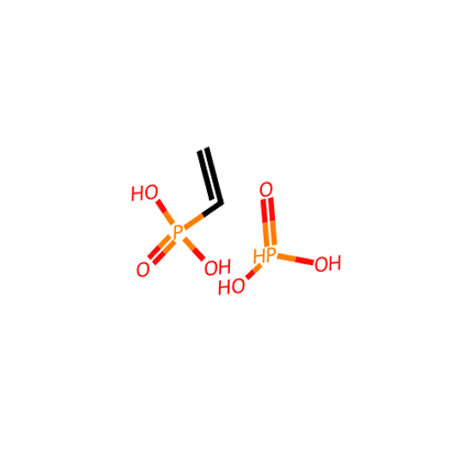 C=CP(=O)(O)O.O=[PH](O)O